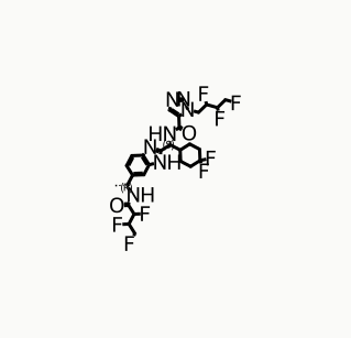 C[C@@H](NC(=O)C(F)C(F)CF)c1ccc2nc([C@@H](NC(=O)c3cnnn3CC(F)C(F)CF)C3CCC(F)(F)CC3)[nH]c2c1